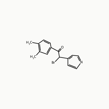 Cc1ccc(C(=O)C(Br)c2ccncc2)cc1C